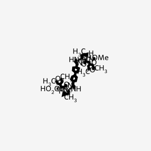 COC(=O)N[C@H](C(=O)N1[C@H](c2nc(-c3ccc(-c4ccc(-c5c[nH]c([C@@H]6C[C@@]7(C)C[C@H]7N6C(=O)[C@@H](NC(=O)O)C6C[C@@H](C)O[C@H](C)C6)n5)cc4)cc3)c[nH]2)C[C@@]2(C)C[C@@H]12)C1C[C@@H](C)O[C@H](C)C1